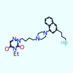 CCn1c(=O)cnn(CCCCN2CCN(c3cc(CCC[18F])cc4ccccc34)CC2)c1=O